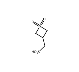 O=S(=O)(O)CC1CS(=O)(=O)C1